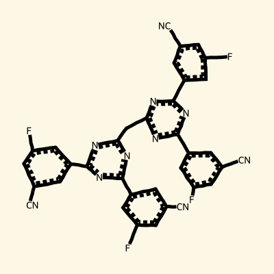 N#Cc1cc(F)cc(-c2nc(Cc3nc(-c4cc(F)cc(C#N)c4)nc(-c4cc(F)cc(C#N)c4)n3)nc(-c3cc(F)cc(C#N)c3)n2)c1